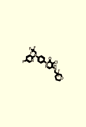 O=c1c(Cl)c(NC[C@@]2(F)CCCOC2)cnn1-c1ccc(N(CC(F)(F)F)c2ccc(F)cn2)cc1